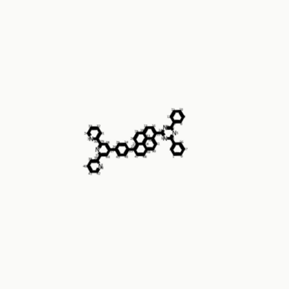 c1ccc(-c2nc(-c3ccccc3)nc(-c3ccc4ccc5c(-c6ccc(-c7cc(-c8ccccn8)nc(-c8ccccn8)c7)cc6)ccc6ccc3c4c65)n2)cc1